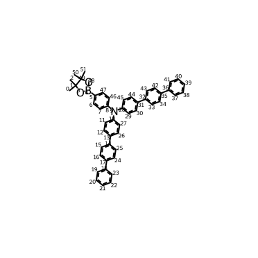 CC1(C)OB(c2ccc(N(c3ccc(-c4ccc(-c5ccccc5)cc4)cc3)c3ccc(-c4ccc(-c5ccccc5)cc4)cc3)cc2)OC1(C)C